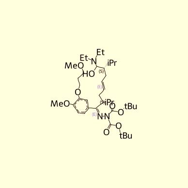 CCN(CC)C(O)[C@@H](C/C=C/C[C@H](/C(=N\N(C(=O)OC(C)(C)C)C(=O)OC(C)(C)C)c1ccc(OC)c(OCCCOC)c1)C(C)C)C(C)C